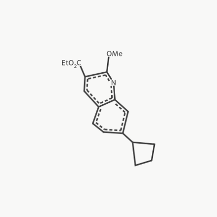 CCOC(=O)c1cc2ccc(C3CCC3)cc2nc1OC